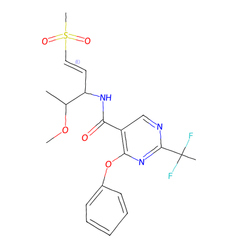 COC(C)C(/C=C/S(C)(=O)=O)NC(=O)c1cnc(C(C)(F)F)nc1Oc1ccccc1